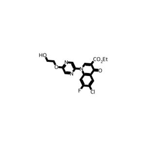 CCOC(=O)c1cn(-c2cnc(OCCO)cn2)c2cc(F)c(Cl)cc2c1=O